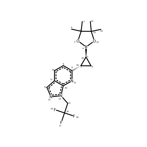 CC1(C)OB([C@H]2C[C@@H]2c2ccc3cnn(CC(F)(F)F)c3n2)OC1(C)C